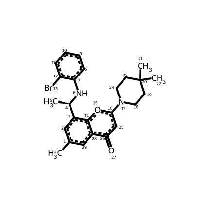 Cc1cc([C@@H](C)Nc2ccccc2Br)c2oc(N3CCC(C)(C)CC3)cc(=O)c2c1